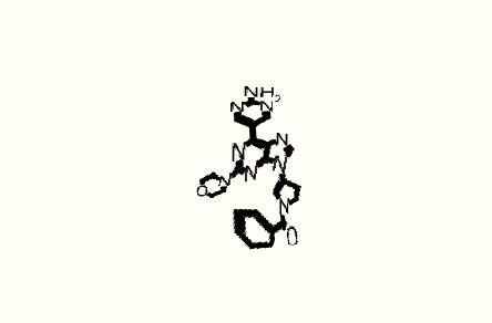 Nc1ncc(-c2nc(N3CCOCC3)nc3c2ncn3C2CCN(C(=O)c3ccccc3)C2)cn1